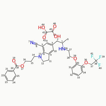 CC(Cc1cc(C#N)c2c(c1)CCN2CCCOC(=O)c1ccccc1)NCCOc1ccccc1OCC(F)(F)F.O=C(O)C(=O)O